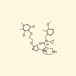 COc1cccc(CN(C(=O)C2=C(c3cnc(OCCOc4c(Cl)cc(C)c(C)c4Cl)s3)CC3CNC[C@H]2N3)C2CC2)c1C